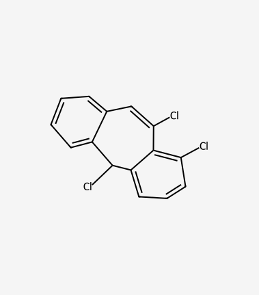 ClC1=Cc2ccccc2C(Cl)c2cccc(Cl)c21